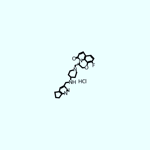 Cl.O=c1ccc2ccc(F)c3c2n1[C@H](CN1CCC(NCc2cc4c(nn2)CCC4)CC1)CO3